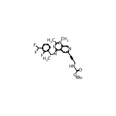 Cc1n/c(=N\[C@H](C)c2cccc(C(F)F)c2F)c2cc(C#CCNC(=O)OC(C)(C)C)ncc2n1C